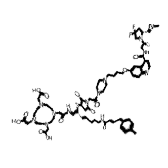 C/N=C/[C@H]1CC(F)(F)CN1C(=O)CNC(=O)c1ccnc2ccc(OCCCCN3CCN(C(=O)CN4C(=O)CC(S[C@H](CCCCCNC(=O)CCCc5ccc(C)cc5)CNC(=O)CN5CCN(CC(=O)O)CCN(CC(=O)O)CCN(CC(=O)O)CC5)C4=O)CC3)cc12